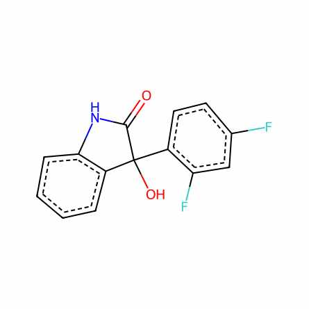 O=C1Nc2ccccc2C1(O)c1ccc(F)cc1F